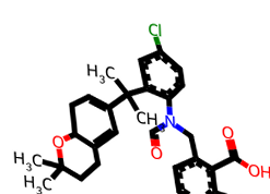 Cc1cccc(CN(C=O)c2ccc(Cl)cc2C(C)(C)C2=CCC3OC(C)(C)CCC3=C2)c1C(=O)O